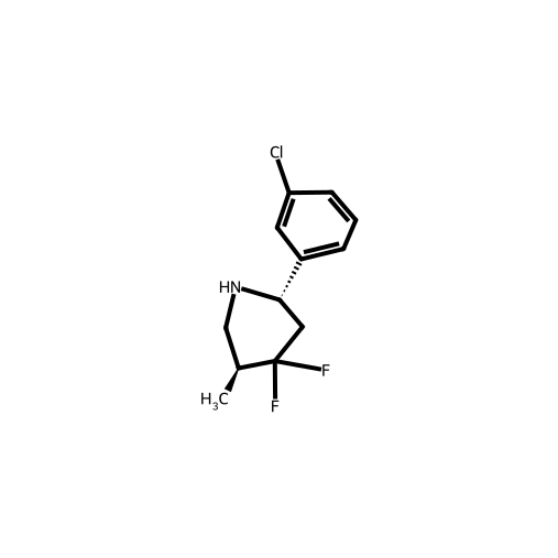 C[C@H]1CN[C@H](c2cccc(Cl)c2)CC1(F)F